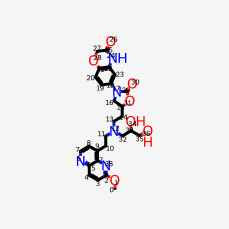 COc1ccc2nccc(CCN(CCC3CN(c4ccc5c(c4)NC(=O)CO5)C(=O)O3)CC(O)CO)c2n1